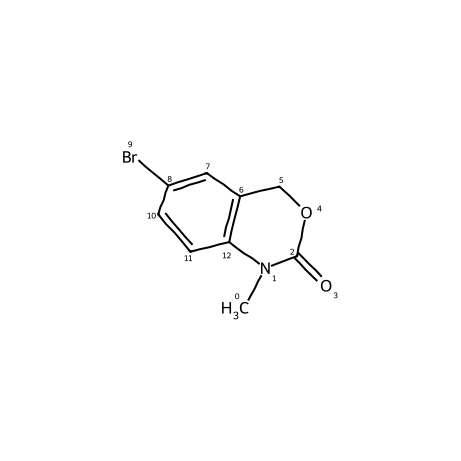 CN1C(=O)OCc2cc(Br)ccc21